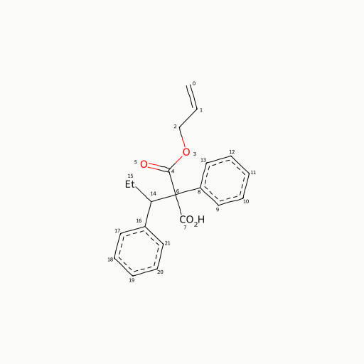 C=CCOC(=O)C(C(=O)O)(c1ccccc1)C(CC)c1ccccc1